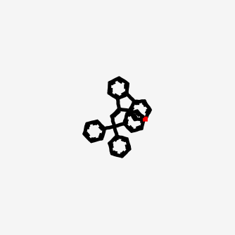 C(=C1c2ccccc2-c2ccccc21)C(c1ccccc1)(c1ccccc1)c1ccccc1